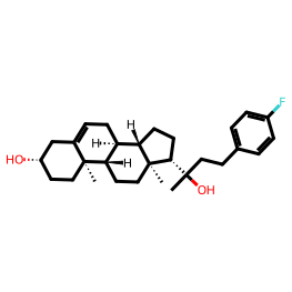 CC(O)(CCc1ccc(F)cc1)[C@H]1CC[C@H]2[C@@H]3CC=C4C[C@@H](O)CC[C@]4(C)[C@H]3CC[C@]12C